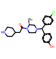 CC(C)(C)[C@H]1CN(C(c2ccc(O)cc2)c2ccc(Cl)cc2)CCN1C(=O)CC1CCNCC1